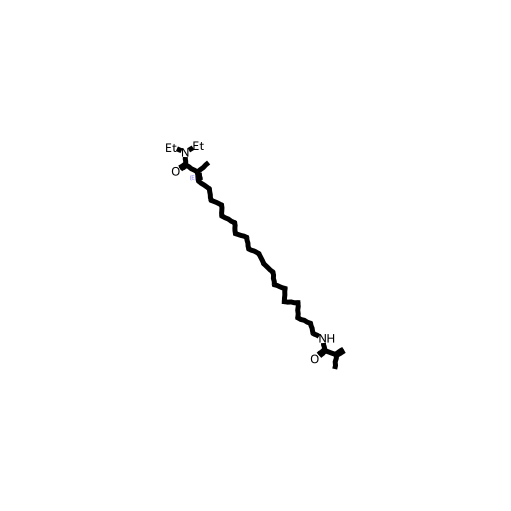 C=C(C)C(=O)NCCCCCCCCCCCCCCCCCC/C=C(\C)C(=O)N(CC)CC